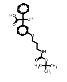 CC(C)(C)OC(=O)NCCCOc1cccc(C(O)(C(=O)O)c2ccccc2)c1